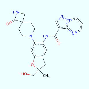 CC1(CO)Cc2cc(NC(=O)c3cnn4cccnc34)c(N3CCC4(CC3)CNC4=O)cc2O1